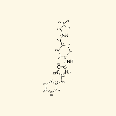 CC(C)(C)SNC[C@H]1CC[C@H](Nc2nc(Cc3ccccc3)no2)CC1